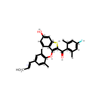 Cc1cc(/C=C/C(=O)O)cc(C)c1Oc1c(C(=O)c2c(C)cc(F)cc2C)sc2cc(O)ccc12